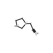 C#CCN1CCNC1